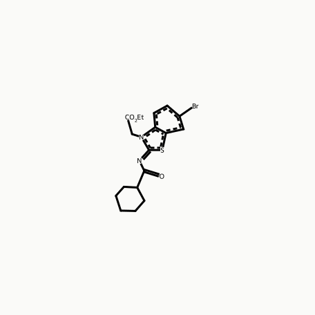 CCOC(=O)Cn1/c(=N/C(=O)C2CCCCC2)sc2cc(Br)ccc21